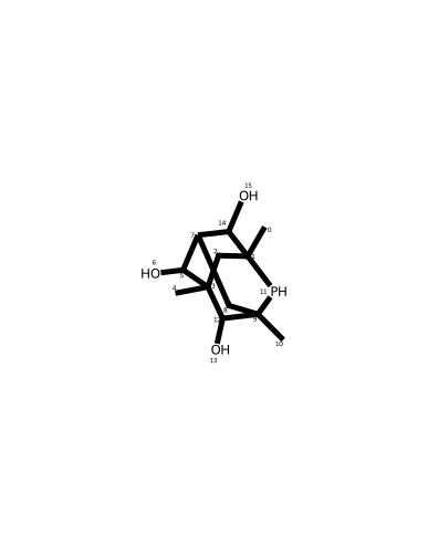 CC12CC3(C)C(O)C(CC(C)(P1)C3O)C2O